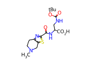 CN1CCc2nc(C(=O)NC(CNC(=O)OC(C)(C)C)C(=O)O)sc2C1